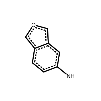 [NH]c1ccc2cocc2c1